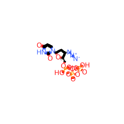 [N-]=[N+]=N[C@H]1C[C@H](n2ccc(=O)[nH]c2=O)O[C@@H]1COP(=O)(O)OP(=O)(O)OP(=O)(O)O